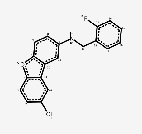 Oc1ccc2oc3ccc(NCc4ccccc4F)cc3c2c1